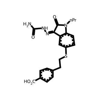 CCCN1C(=O)C(=NNC(N)=O)c2cc(SCCc3ccc(C(=O)O)cc3)ccc21